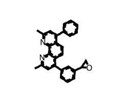 Cc1cc(-c2ccccc2)c2ccc3c(-c4cccc(C5CO5)c4)cc(C)nc3c2n1